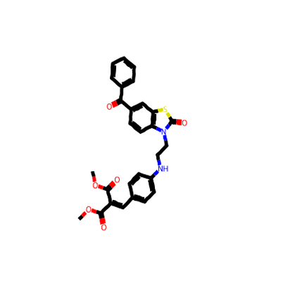 COC(=O)C(=Cc1ccc(NCCn2c(=O)sc3cc(C(=O)c4ccccc4)ccc32)cc1)C(=O)OC